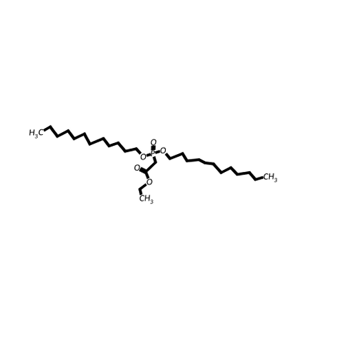 CCCCCCCCCCCCOP(=O)(CC(=O)OCC)OCCCCCCCCCCCC